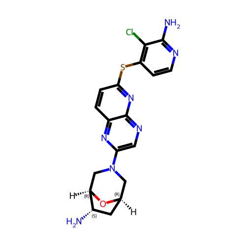 Nc1nccc(Sc2ccc3nc(N4C[C@H]5C[C@H](N)[C@@H](C4)O5)cnc3n2)c1Cl